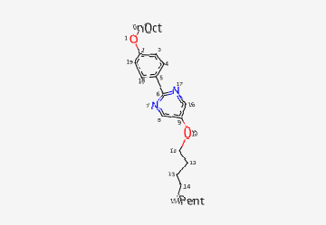 CCCCCCCCOc1ccc(-c2ncc(OCCCCC(C)CCC)cn2)cc1